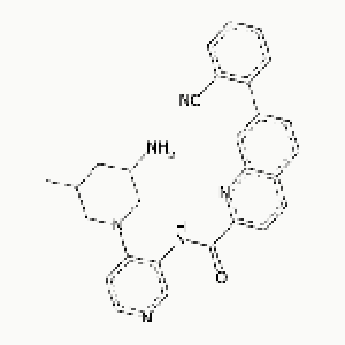 CC1CC(N)CN(c2ccncc2NC(=O)c2ccc3ccc(-c4ccccc4C#N)cc3n2)C1